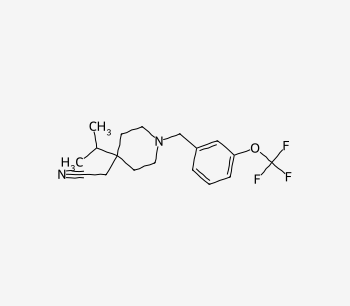 CC(C)C1(CC#N)CCN(Cc2cccc(OC(F)(F)F)c2)CC1